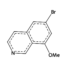 COc1cc(Br)cc2ccncc12